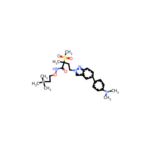 CN(C)c1ccc(-c2ccc3nn(CCC(C)(C(=O)NOCC[Si](C)(C)C)S(C)(=O)=O)cc3c2)cc1